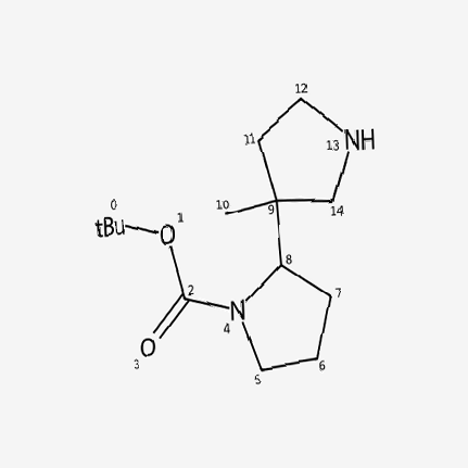 CC(C)(C)OC(=O)N1CCCC1C1(C)CCNC1